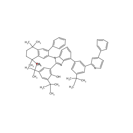 CC(C)(C)c1cc(-c2cc(-c3ccccc3)ccn2)cc(-c2cccc3c2nc(-c2cc(C(C)(C)C)cc(C(C)(C)C)c2O)n3-c2cc3c(cc2-c2ccccc2)C(C)(C)CCC3(C)C)c1